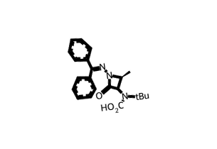 C[C@H]1C(N(C(=O)O)C(C)(C)C)C(=O)N1N=C(c1ccccc1)c1ccccc1